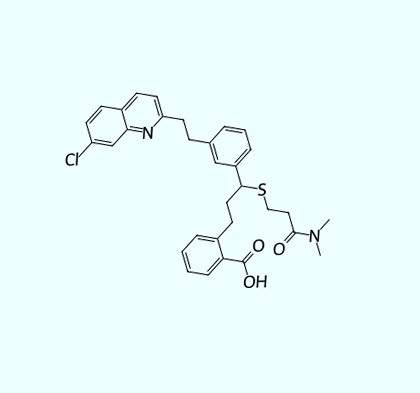 CN(C)C(=O)CCSC(CCc1ccccc1C(=O)O)c1cccc(CCc2ccc3ccc(Cl)cc3n2)c1